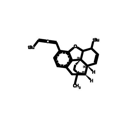 CN1CC[C@]23c4c5ccc(C=C=CC(C)(C)C)c4OC2C(C(C)(C)C)C=C[C@H]3[C@H]1C5